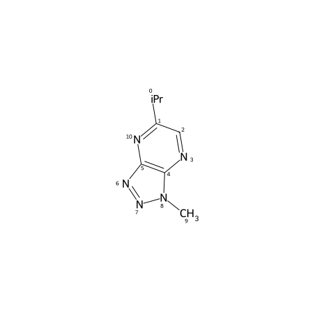 CC(C)c1cnc2c(nnn2C)n1